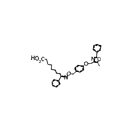 Cc1oc(-c2ccccc2)nc1COc1ccc(CO/N=C(\CCCCCCCC(=O)O)c2ccccc2)cc1